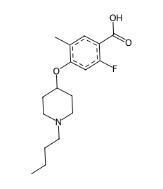 CCCCN1CCC(Oc2cc(F)c(C(=O)O)cc2C)CC1